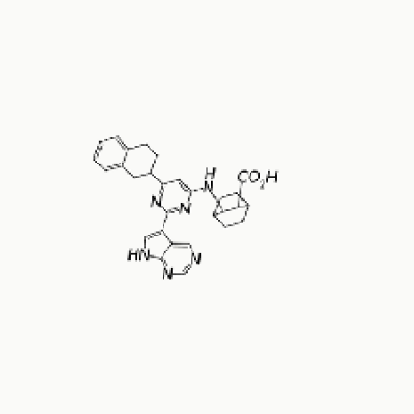 O=C(O)C1C2CCC(CC2)C1Nc1cc(C2CCc3ccccc3C2)nc(-c2c[nH]c3ncncc23)n1